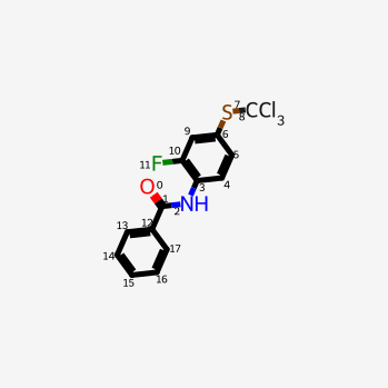 O=C(Nc1ccc(SC(Cl)(Cl)Cl)cc1F)c1ccccc1